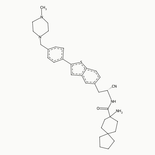 CN1CCN(Cc2ccc(-c3cc4cc(C[C@H](C#N)NC(=O)C5(N)CCC6(CCCC6)CC5)ccc4s3)cc2)CC1